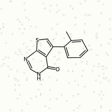 Cc1ccccc1-c1csc2nc[nH]c(=O)c12